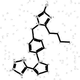 CCCCc1nc(Cl)nn1Cc1ccc(-n2cccc2-c2nnn[nH]2)cc1